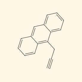 [C]#CCc1c2ccccc2cc2ccccc12